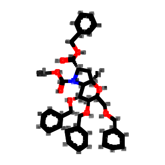 CC(C)(C)OC(=O)N1C2[C@@H](OCc3ccccc3)[C@H](OCc3ccccc3)C(COCc3ccccc3)O[C@@H]2C[C@H]1C(=O)OCc1ccccc1